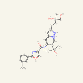 Cc1cccc(-c2nc(C(=O)Nc3cc4cc(CCC5(O)COC5)nn4cc3C(C)(C)O)co2)c1